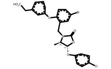 C[C@@H]1[C@@H](Oc2ccc(Cl)cc2)OC(=O)N1Cc1cc(Br)ccc1Oc1cccc(CC(=O)O)c1